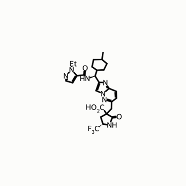 CCn1nccc1C(=O)N[C@H](c1cn2nc(CC3(C(=O)O)C[C@@H](C(F)(F)F)NC3=O)ccc2n1)C1CCC(C)CC1